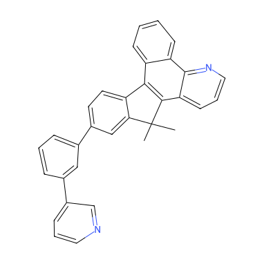 CC1(C)c2cc(-c3cccc(-c4cccnc4)c3)ccc2-c2c1c1cccnc1c1ccccc21